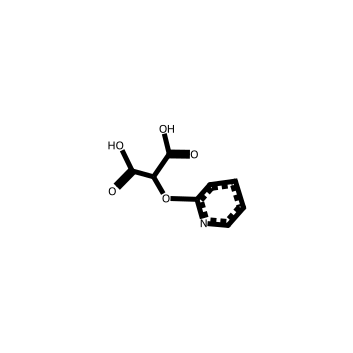 O=C(O)C(Oc1ccccn1)C(=O)O